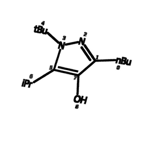 CCCCc1nn(C(C)(C)C)c(C(C)C)c1O